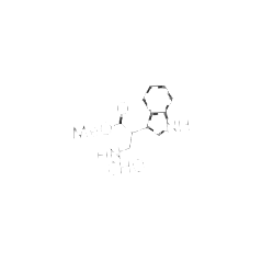 COC(=O)C(CNC=O)c1c[nH]c2ccccc12